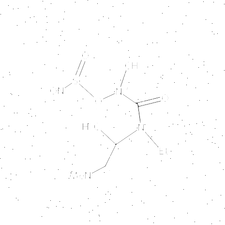 CCN(C(=O)N(C)OS(=O)N=O)C(C)CNC